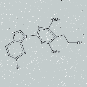 COc1nc(-n2ccc3ccc(Br)nc32)nc(OC)c1CCC#N